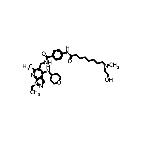 CCn1ncc2c(NC3CCOCC3)c(CNC(=O)c3ccc(NC(=O)CCCCCCCN(C)CCO)cc3)c(C)nc21